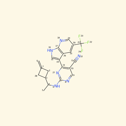 C=C1CC(C(C)Nc2ncc(C#N)c(-c3c[nH]c4ncc(C(F)(F)F)cc34)n2)C1